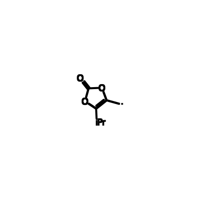 [CH2]c1oc(=O)oc1C(C)C